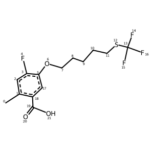 Cc1cc(F)c(OCCCCCSC(F)(F)F)cc1C(=O)O